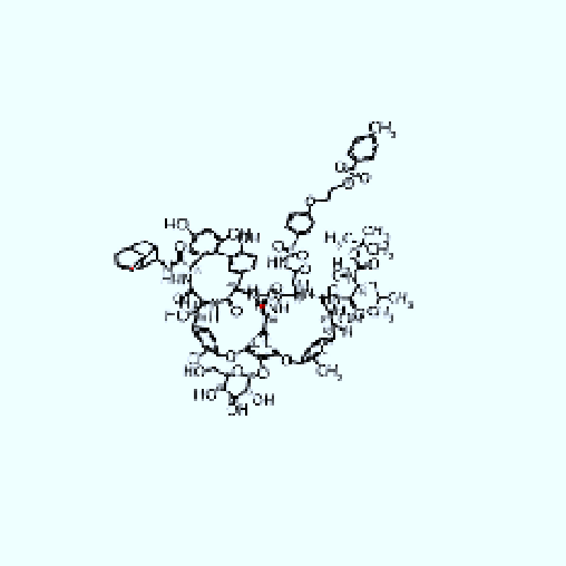 Cc1ccc(S(=O)(=O)OCCOc2ccc(S(=O)(=O)NC(=O)C[C@@H]3NC(=O)[C@H](NC(=O)[C@@H](CC(C)C)N(C)C(=O)OC(C)(C)C)[C@H](O)c4ccc(c(C)c4)Oc4cc5cc(c4O[C@@H]4O[C@H](CO)[C@@H](O)[C@H](O)[C@H]4O)Oc4ccc(cc4Cl)[C@@H](O)[C@@H]4NC(=O)[C@H](NC(=O)[C@@H]5NC3=O)c3ccc(O)c(c3)-c3c(O)cc(O)cc3[C@@H](C(=O)NC3C5CC6CC(C5)CC3C6)NC4=O)cc2)cc1